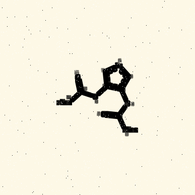 CCCCCCCCCC(=O)Oc1c[se]cc1OC(=O)CCCCCCCCC